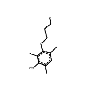 CCCCSc1c(C)cc(C)c(O)c1C